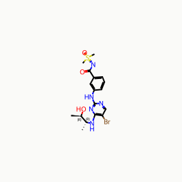 C[C@@H](O)[C@@H](C)Nc1nc(Nc2cccc(C(=O)N=S(C)(C)=O)c2)ncc1Br